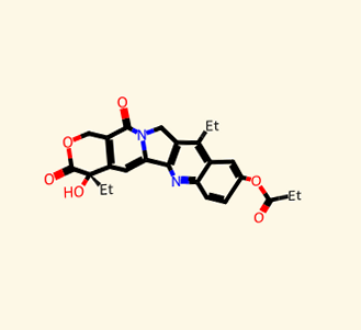 CCC(=O)Oc1ccc2nc3c(c(CC)c2c1)Cn1c-3cc2c(c1=O)COC(=O)[C@]2(O)CC